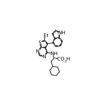 CCc1sc2ncnc(N[C@H](CC3CCCCC3)C(=O)O)c2c1-c1cccc2[nH]ccc12